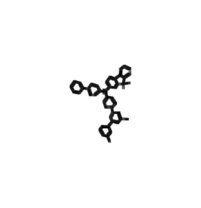 Cc1cccc(-c2cc(C)cc(-c3ccc(N(c4ccc(-c5ccccc5)cc4)c4ccc5c(c4)C(C)(C)c4ccccc4-5)cc3)c2)c1